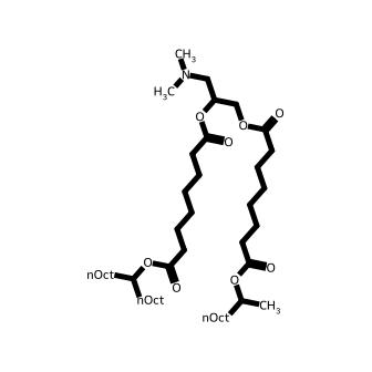 CCCCCCCCC(C)OC(=O)CCCCCCC(=O)OCC(CN(C)C)OC(=O)CCCCCCC(=O)OC(CCCCCCCC)CCCCCCCC